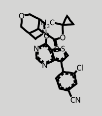 CC1(OC(=O)N2CC3COCC(C2)C3Oc2ncnc3c(-c4ccc(C#N)cc4Cl)csc23)CC1